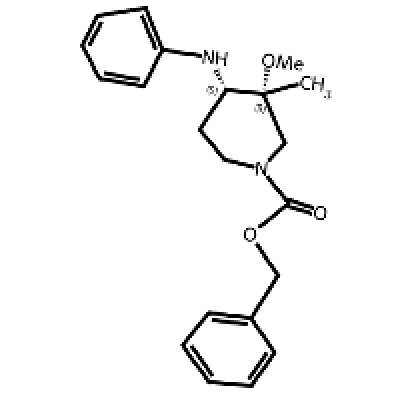 CO[C@]1(C)CN(C(=O)OCc2ccccc2)CC[C@@H]1Nc1ccccc1